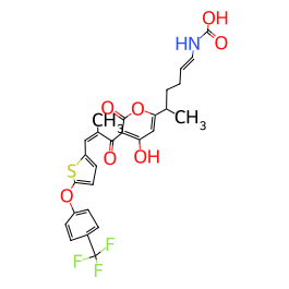 CC(=Cc1ccc(Oc2ccc(C(F)(F)F)cc2)s1)C(=O)c1c(O)cc(C(C)CCC=CNC(=O)O)oc1=O